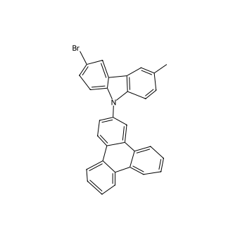 Cc1ccc2c(c1)c1cc(Br)ccc1n2-c1ccc2c3ccccc3c3ccccc3c2c1